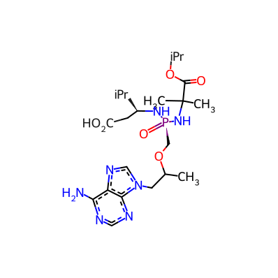 CC(C)OC(=O)C(C)(C)N[P@@](=O)(COC(C)Cn1cnc2c(N)ncnc21)N[C@@H](CC(=O)O)C(C)C